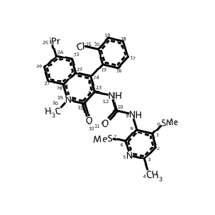 CSc1cc(C)nc(SC)c1NC(=O)Nc1c(-c2ccccc2Cl)c2cc(C(C)C)ccc2n(C)c1=O